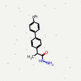 CCCc1ccc(-c2ccc(C(C)C(=O)NN)cc2)cc1